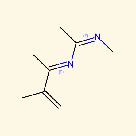 C=C(C)/C(C)=N/C(C)=N\C